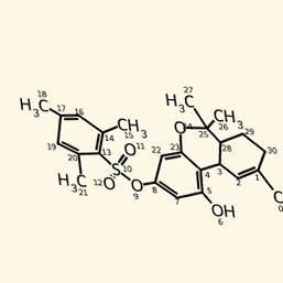 CC1=CC2c3c(O)cc(OS(=O)(=O)c4c(C)cc(C)cc4C)cc3OC(C)(C)C2CC1